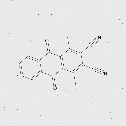 Cc1c(C#N)c(C#N)c(C)c2c1C(=O)c1ccccc1C2=O